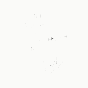 Cc1cc(N)c(N)c(OCC(O)CN2CCC(COc3cccc4[nH]c(=O)[nH]c34)CC2)c1.Cl.Cl.Cl